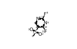 CS(=O)(=O)c1[c]nc(F)nc1F